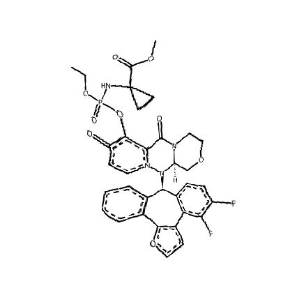 CCOP(=O)(NC1(C(=O)OC)CC1)Oc1c2n(ccc1=O)N([C@@H]1c3ccccc3-c3occc3-c3c1ccc(F)c3F)[C@@H]1COCCN1C2=O